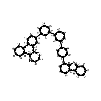 c1cc(-c2ccc(-c3cccc4c3sc3ccccc34)cc2)cc(-c2cccc(-c3ccc4c5ccccc5c5nccnc5c4c3)c2)c1